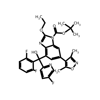 CCOc1nc2c(C(O)(c3ccc(F)cn3)c3c(F)cccc3F)cc(-c3c(C)noc3C)cc2n1C(=O)OC(C)(C)C